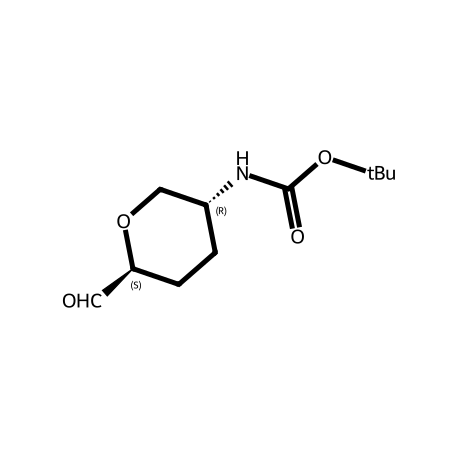 CC(C)(C)OC(=O)N[C@@H]1CC[C@@H](C=O)OC1